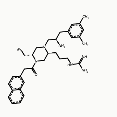 Cc1cc(C)cc(C[C@@H](N)CN2C[C@@H](CC(C)C)N(C(=O)Cc3ccc4ccccc4c3)C[C@@H]2CCCNC(=N)N)c1